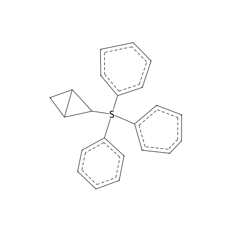 c1ccc(S(c2ccccc2)(c2ccccc2)C2C3CC32)cc1